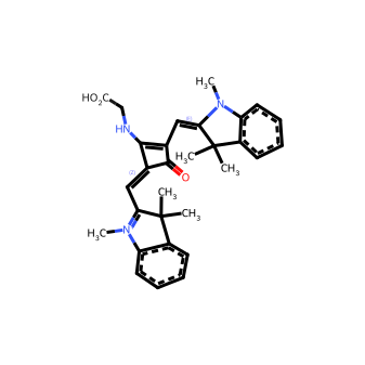 CN1/C(=C/C2=C(NCC(=O)O)C(=C/C3=[N+](C)c4ccccc4C3(C)C)/C2=O)C(C)(C)c2ccccc21